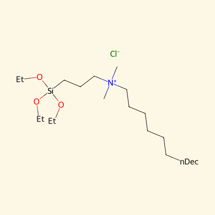 CCCCCCCCCCCCCCCC[N+](C)(C)CCC[Si](OCC)(OCC)OCC.[Cl-]